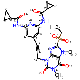 BCS(=O)(=O)c1nc2c(c(=O)n(C)c(=O)n2CC#Cc2cc(NC(=O)C3CC3)nc(NC(=O)C3CC3)c2)n1C